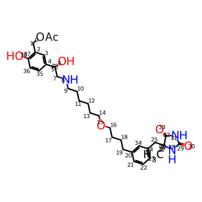 CC(=O)OCc1cc([C@@H](O)CNCCCCCCOCCCCc2cccc(C[C@@]3(C)NC(=O)NC3=O)c2)ccc1O